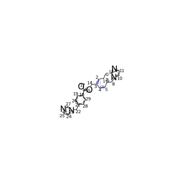 CC/C=C(\C=C/C(C)Cn1ccnc1)COC(=O)c1ccc(Cn2ccnc2)cc1